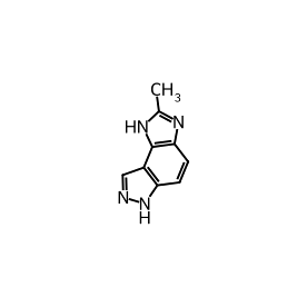 Cc1nc2ccc3[nH]ncc3c2[nH]1